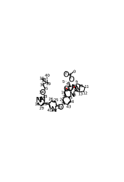 CC(=O)O[C@@H](C)C(=O)N1CC2CCC(C1)N2Cc1ccc2cc(Oc3ccc(-c4ccnn4COCC[Si](C)(C)C)cn3)ccc2n1